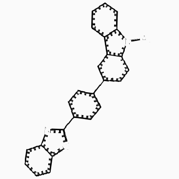 CC(=O)n1c2ccccc2c2cc(-c3ccc(-c4nc5ccccc5s4)cc3)ccc21